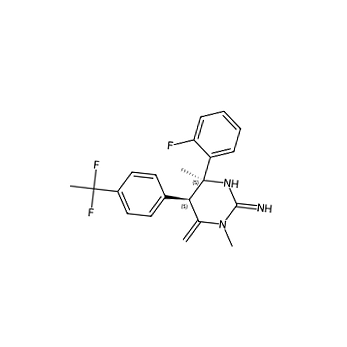 C=C1[C@@H](c2ccc(C(C)(F)F)cc2)[C@@](C)(c2ccccc2F)NC(=N)N1C